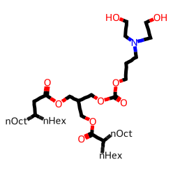 CCCCCCCCC(CCCCCC)CC(=O)OCC(COC(=O)OCCCN(CCO)CCO)COC(=O)C(CCCCCC)CCCCCCCC